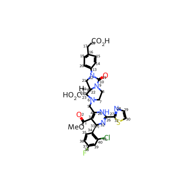 COC(=O)C1=C(CN2CCN3C(=O)N(c4ccc(CC(=O)O)cc4)C[C@@H]3[C@H]2C(=O)O)NC(c2nccs2)=N[C@H]1c1ccc(F)cc1Cl